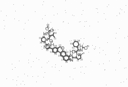 COCN[C@H](C(=O)N1[C@@H](C)CC[C@H]1c1nc2ccc3cc4c(cc3c2[nH]1)OCc1cc(-c2cnc([C@@H]3CC[C@H](C)N3C(=O)[C@@H](NC(=O)OC)C(C)C)[nH]2)ccc1-4)C1CCCCC1